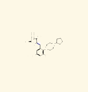 O=C1NC(=O)/C(=C/c2cc(C(F)(F)F)cc(Cl)c2N2CCN(C3CCCC3)CC2)S1